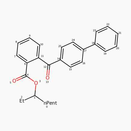 CCCCCC(CC)OC(=O)c1ccccc1C(=O)c1ccc(-c2ccccc2)cc1